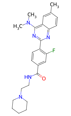 Cc1ccc2nc(-c3ccc(C(=O)NCCN4CCCCC4)cc3F)nc(N(C)C)c2c1